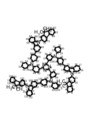 CC1(C)c2ccccc2-c2ccc(-n3c4ccccc4c4cc(-c5ccc(N(c6ccccc6)c6cccc(-c7nc(-c8cccc(N(c9ccccc9)c9ccc(-c%10ccc%11c(c%10)c%10ccccc%10n%11-c%10ccc%11c(c%10)C(C)(C)c%10ccccc%10-%11)cc9)c8)nc(-c8cccc(N(c9ccccc9)c9ccc(-c%10ccc%11c(c%10)c%10ccccc%10n%11-c%10ccc%11c(c%10)C(C)(C)c%10ccccc%10-%11)cc9)c8)n7)c6)cc5)ccc43)cc21